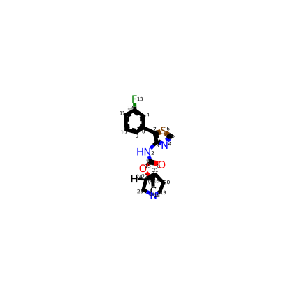 O=C(Nc1ncsc1-c1cccc(F)c1)O[C@H]1CN2CCC1CC2